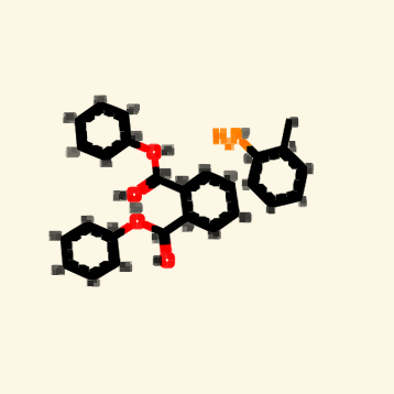 Cc1ccccc1P.O=C(Oc1ccccc1)c1ccccc1C(=O)Oc1ccccc1